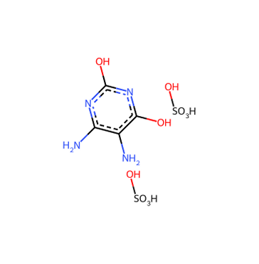 Nc1nc(O)nc(O)c1N.O=S(=O)(O)O.O=S(=O)(O)O